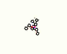 N#Cc1ccc(-n2c3ccccc3c3c4oc5ccccc5c4ccc32)c(-c2cc(-n3c4ccccc4c4c5oc6ccccc6c5ccc43)ccc2-c2cc(C(F)(F)F)cc(C(F)(F)F)c2)c1